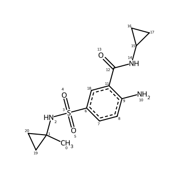 CC1(NS(=O)(=O)c2ccc(N)c(C(=O)NC3CC3)c2)CC1